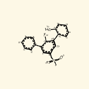 CS(=O)(=O)c1cc(-c2ccccc2)c(F)c(-c2ccccc2O)c1